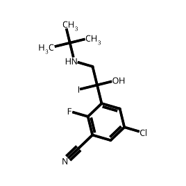 CC(C)(C)NCC(O)(I)c1cc(Cl)cc(C#N)c1F